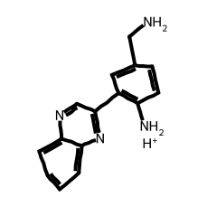 NCc1ccc(N)c(-c2cnc3ccccc3n2)c1.[H+]